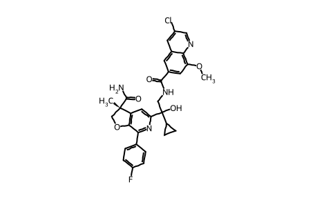 COc1cc(C(=O)NCC(O)(c2cc3c(c(-c4ccc(F)cc4)n2)OC[C@]3(C)C(N)=O)C2CC2)cc2cc(Cl)cnc12